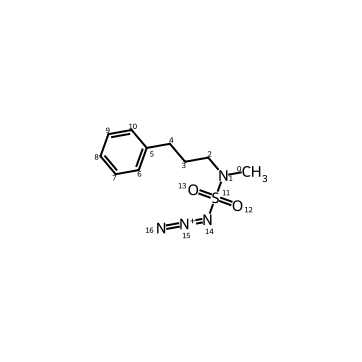 CN(CCCc1ccccc1)S(=O)(=O)N=[N+]=[N-]